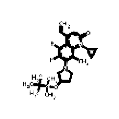 C=Cc1cc(=O)n(C2CC2)c2c(C)c(N3CCC(O[Si](C)(C)C(C)(C)C)C3)c(F)c(F)c12